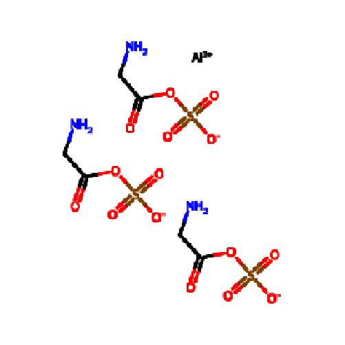 NCC(=O)OS(=O)(=O)[O-].NCC(=O)OS(=O)(=O)[O-].NCC(=O)OS(=O)(=O)[O-].[Al+3]